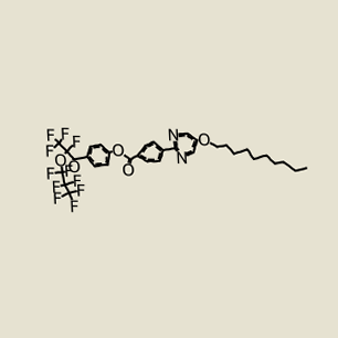 CCCCCCCCCCOc1cnc(-c2ccc(C(=O)Oc3ccc(C(=O)C(F)(OC(F)(F)C(F)(F)C(F)(F)F)C(F)(F)F)cc3)cc2)nc1